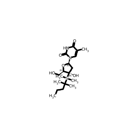 CCCC(C)(C)[Si](C)(C)[C@]1(O)C[C@H](n2cc(C)c(=O)[nH]c2=O)O[C@@H]1CO